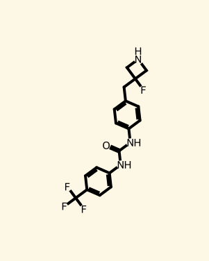 O=C(Nc1ccc(CC2(F)CNC2)cc1)Nc1ccc(C(F)(F)F)cc1